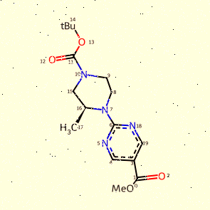 COC(=O)c1cnc(N2CCN(C(=O)OC(C)(C)C)C[C@@H]2C)nc1